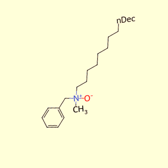 CCCCCCCCCCCCCCCCCC[N+](C)([O-])Cc1ccccc1